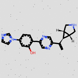 C=C(c1cnc(-c2ccc(-n3ccnc3)cc2O)cn1)[C@H]1[C@@H]2CNC[C@@H]21